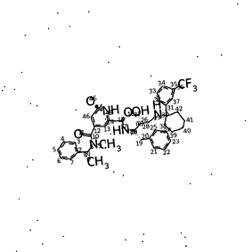 C[C@H](c1ccccc1)N(C)C(=O)c1cc(C(=O)N[C@@H](Cc2ccccc2)[C@H](O)CNC2(c3cccc(C(F)(F)F)c3)CCCCC2)[nH]c(=O)c1